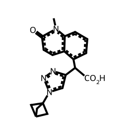 Cn1c(=O)ccc2c(C(C(=O)O)c3cn(C45CC(C4)C5)nn3)cccc21